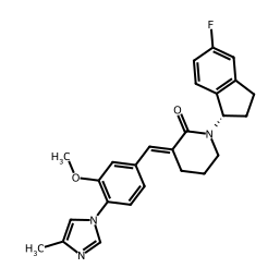 COc1cc(/C=C2\CCCN([C@H]3CCc4cc(F)ccc43)C2=O)ccc1-n1cnc(C)c1